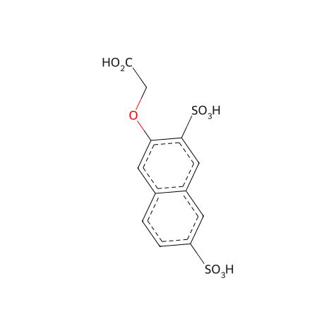 O=C(O)COc1cc2ccc(S(=O)(=O)O)cc2cc1S(=O)(=O)O